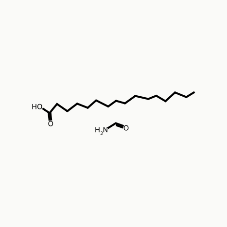 CCCCCCCCCCCCCCCC(=O)O.NC=O